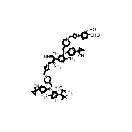 C=C(C)/C(=C(/C)O)c1ccc(C)c(N(CC2CCN(CC3CN(C/C(C)=C(\C(C)=N)c4ccc(C)c(N(CC5CCN(CC6CN(c7ccc(C=O)c(C=O)c7)C6)CC5)c5ccc(C6(C#N)CC6)cc5)c4)C3)CC2)c2ccc(C3(C#N)CC3)cc2)c1